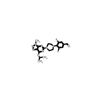 CC(C)Oc1nc(N2CCN(c3c(F)cc(C=O)cc3F)CC2)nc2c1nnn2C